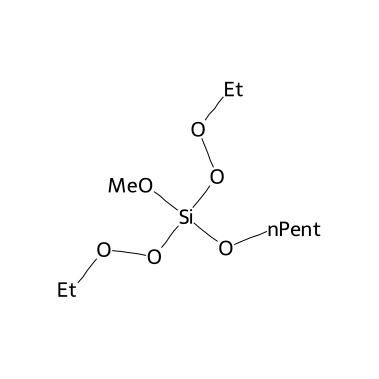 CCCCCO[Si](OC)(OOCC)OOCC